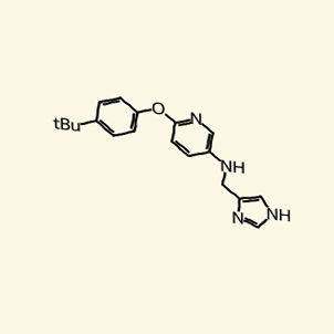 CC(C)(C)c1ccc(Oc2ccc(NCc3c[nH]cn3)cn2)cc1